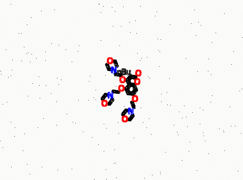 CCCCc1c(OCCN2CCOCC2)c2c(OCCN3CCOCC3)cc(OCCN3CCOCC3)cc2oc1=O